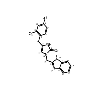 O=c1[nH]c(Cc2ccc(Cl)cc2Cl)cn1Cc1nc2ccccc2[nH]1